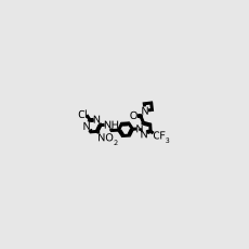 O=C(c1cc(C(F)(F)F)nn1-c1ccc(CNc2nc(Cl)ncc2[N+](=O)[O-])cc1)N1CCC1